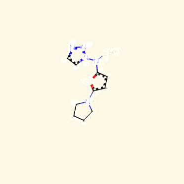 O=CN(c1ccc(N2CCCC2)o1)n1ccnn1